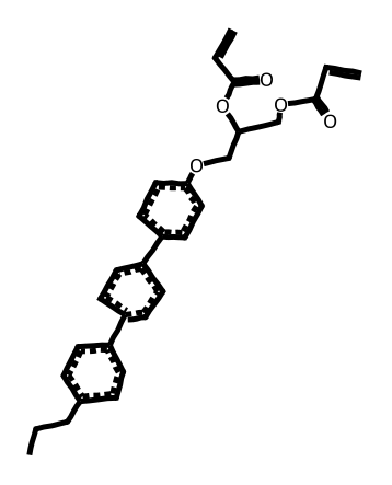 C=CC(=O)OCC(COc1ccc(-c2ccc(-c3ccc(CCC)cc3)cc2)cc1)OC(=O)C=C